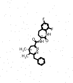 CC1C(Cc2ccccc2)=NN=C(C(=O)N[C@H]2CCc3cc(F)cc(F)c3NC2=O)C[C@H]1C